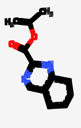 C=C(C)OC(=O)c1ncc2ccccc2n1